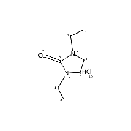 CCN1CCN(CC)[C]1=[Cu].Cl